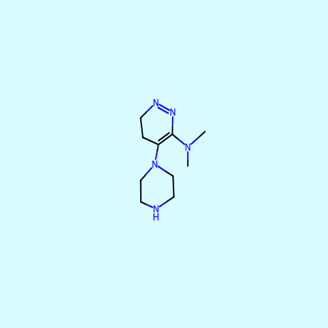 CN(C)C1=C(N2CCNCC2)CCN=N1